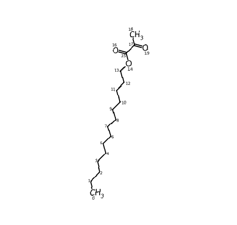 CCCCCCCCCCCCCCOC(=O)C(C)=O